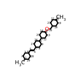 CC1CCC(C=CC2CCC(C3CCC(OCC4CCC(C)CC4)CC3)CC2)CC1